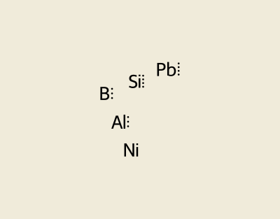 [Al].[B].[Ni].[Pb].[Si]